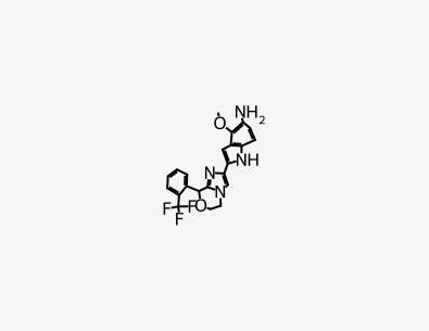 COc1c(N)ccc2[nH]c(-c3cn4c(n3)C(c3ccccc3C(F)(F)F)OCC4)cc12